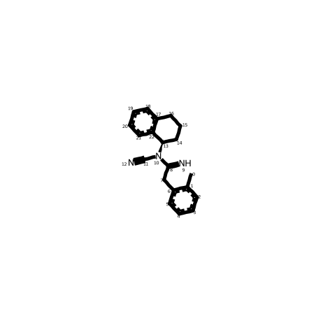 Cc1ccccc1CC(=N)N(C#N)[C@@H]1CCCc2ccccc21